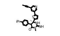 CC#Cc1cncc(-c2ccc([C@@]3(C)NC(=N)N(C)C(=O)C3c3ccc(C(C)C)cc3)s2)c1